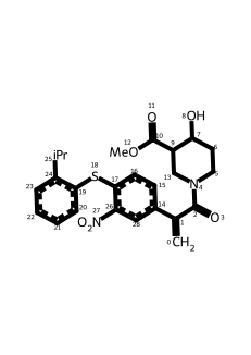 C=C(C(=O)N1CCC(O)C(C(=O)OC)C1)c1ccc(Sc2ccccc2C(C)C)c([N+](=O)[O-])c1